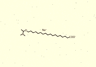 CC(OCCCCCCCCCCCCCCCCCC(=O)[O-])N(C)C.[Na+]